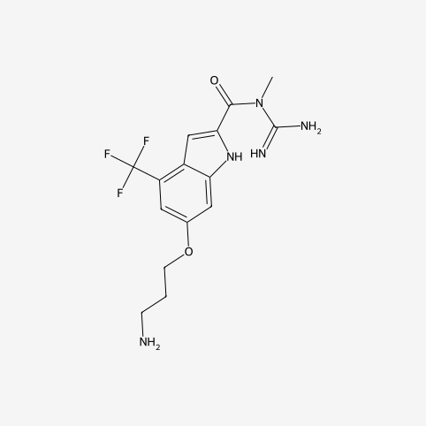 CN(C(=N)N)C(=O)c1cc2c(C(F)(F)F)cc(OCCCN)cc2[nH]1